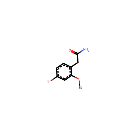 CCOc1cc(Br)ccc1CC(N)=O